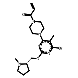 C=CC(=O)N1CCN(c2nc(OC[C@@H]3CCCN3C)nc(Br)c2C)CC1